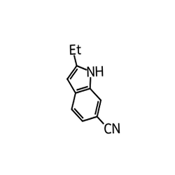 CCc1cc2ccc(C#N)cc2[nH]1